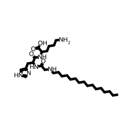 CCCCCCCCCCCCCCCCNCC(=O)NC(Cc1c[nH]cn1)C(=O)NC(CCCCN)C(=O)O